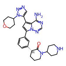 Nc1ncnn2c(-c3cccc([C@H]4CCCN(C5CCNCC5)C4=O)c3)cc(-c3cnnn3C3CCOCC3)c12